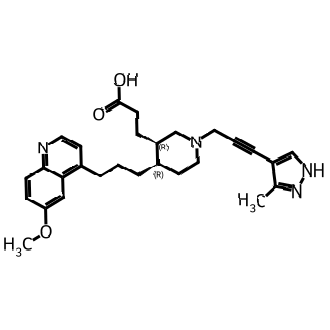 COc1ccc2nccc(CCC[C@@H]3CCN(CC#Cc4c[nH]nc4C)C[C@@H]3CCC(=O)O)c2c1